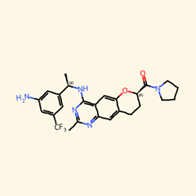 Cc1nc(N[C@H](C)c2cc(N)cc(C(F)(F)F)c2)c2cc3c(cc2n1)CC[C@H](C(=O)N1CCCC1)O3